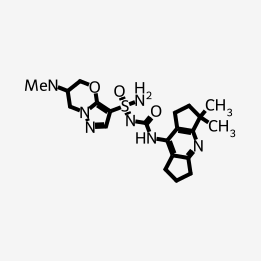 CNC1COc2c(S(N)(=O)=NC(=O)Nc3c4c(nc5c3CCC5(C)C)CCC4)cnn2C1